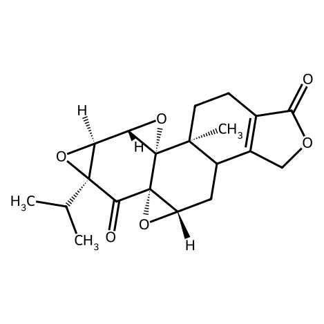 CC(C)[C@]12O[C@H]1[C@@H]1O[C@@]13[C@@]1(C)CCC4=C(COC4=O)C1C[C@@H]1O[C@@]13C2=O